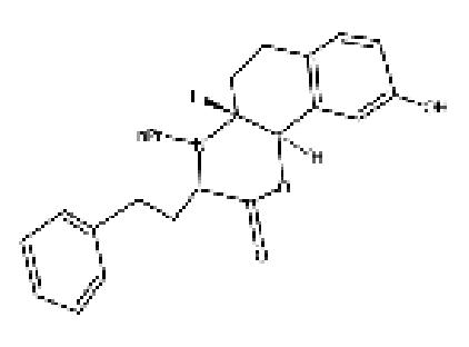 CCCN1C(CCc2ccccc2)C(=O)O[C@@H]2c3cc(O)ccc3CC[C@H]21